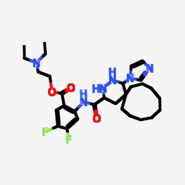 CCN(CC)CCOC(=O)c1cc(F)c(F)cc1NC(=O)C1CC2(CCCCCCCCC2)C(n2ccnc2)NN1